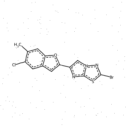 Cc1cc2oc(-c3cn4nc(Br)sc4n3)cc2cc1Cl